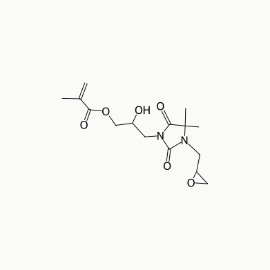 C=C(C)C(=O)OCC(O)CN1C(=O)N(CC2CO2)C(C)(C)C1=O